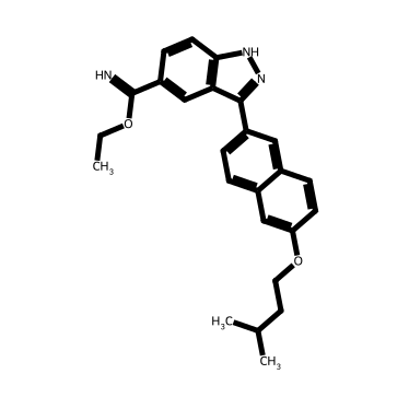 CCOC(=N)c1ccc2[nH]nc(-c3ccc4cc(OCCC(C)C)ccc4c3)c2c1